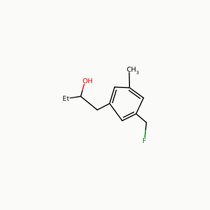 CCC(O)Cc1cc(C)cc(CF)c1